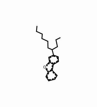 CCCCCCC(CCC)c1ccc2c(c1)oc1ccccc12